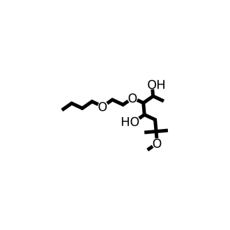 CCCCOCCOC(C(C)O)C(O)CC(C)(C)OC